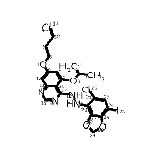 CC(C)Oc1cc(OCCCCl)cc2ncnc(NNc3c(Cl)cc(I)c4c3OCO4)c12